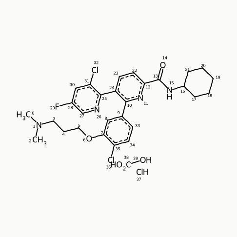 CN(C)CCCOc1cc(-c2nc(C(=O)NC3CCCCC3)ccc2-c2ncc(F)cc2Cl)ccc1Cl.Cl.O=C(O)O